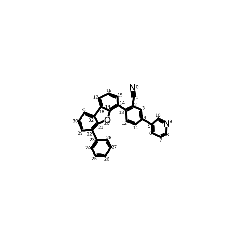 N#Cc1cc(-c2cccnc2)ccc1-c1cccc2c1oc1c(-c3ccccc3)cccc12